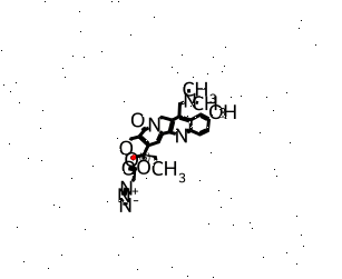 CC[C@@]1(OC(=O)CN=[N+]=[N-])C(=O)OCc2c1cc1n(c2=O)Cc2c-1nc1ccc(O)cc1c2CN(C)C